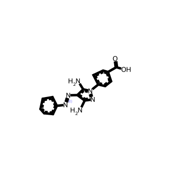 Nc1nn(-c2ccc(C(=O)O)cc2)c(N)c1/N=N/c1ccccc1